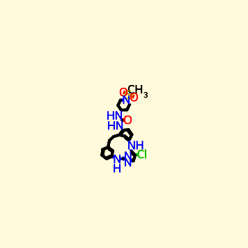 CS(=O)(=O)N1CCC(NC(=O)Nc2ccc3cc2CCc2cccc(c2)Nc2ncc(Cl)c(n2)N3)CC1